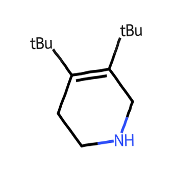 CC(C)(C)C1=C(C(C)(C)C)CNCC1